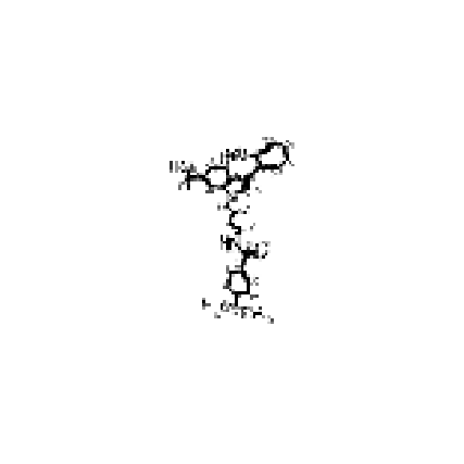 CC(C)c1ccc(C(=O)NCCCCn2cc(-c3ccccc3O)c3ccc(C(=O)O)cc32)cc1